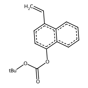 C=Cc1ccc(OC(=O)OC(C)(C)C)c2ccccc12